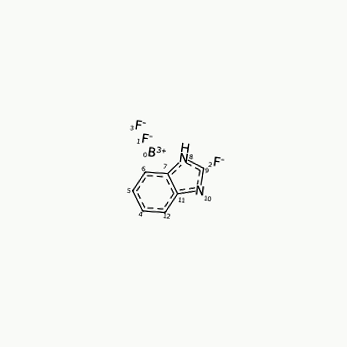 [B+3].[F-].[F-].[F-].c1ccc2[nH]cnc2c1